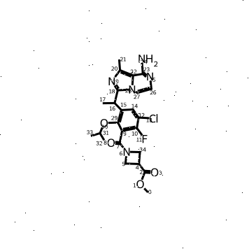 COC(=O)C1CN(C(=O)c2c(F)c(Cl)cc(C(C)c3nc(C)c4c(N)nccn34)c2OC(C)C)C1